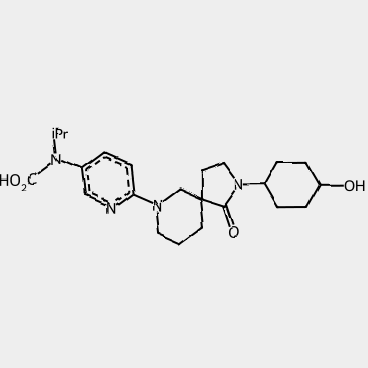 CC(C)N(C(=O)O)c1ccc(N2CCCC3(CCN(C4CCC(O)CC4)C3=O)C2)nc1